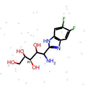 NC(c1nc2cc(F)c(F)cc2[nH]1)C(O)[C@@H](O)C(O)CO